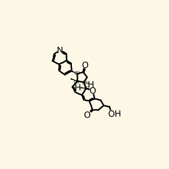 C[C@]12C=CC3=CC4=C(CC(CO)CC4=O)O[C@H]3[C@@H]1CC(=O)[C@@H]2c1ccc2ccncc2c1